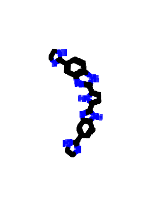 c1cc2[nH]c(-c3ccc(-c4nc5cc(C6=NCCN6)ccc5[nH]4)[nH]3)nc2cc1C1=NCCN1